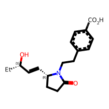 CC[C@H](O)C=C[C@H]1CCC(=O)N1CCc1ccc(C(=O)O)cc1